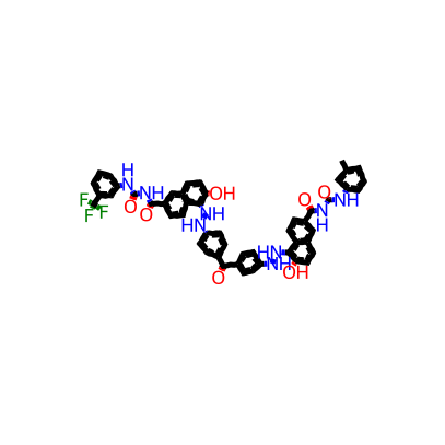 Cc1cccc(NC(=O)NC(=O)c2ccc3c(NNc4ccc(C(=O)c5ccc(NNc6c(O)ccc7cc(C(=O)NC(=O)Nc8cccc(C(F)(F)F)c8)ccc67)cc5)cc4)c(O)ccc3c2)c1